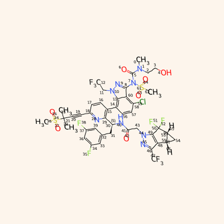 CN(CCO)C(=O)N(c1nn(CC(F)(F)F)c2c(-c3ccc(C#CC(C)(C)S(C)(=O)=O)nc3[C@H](Cc3cc(F)cc(F)c3)NC(=O)Cn3nc(C(F)(F)F)c4c3C(F)(F)[C@@H]3C[C@H]43)ccc(Cl)c12)S(C)(=O)=O